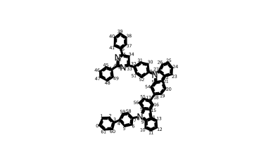 c1ccc(-c2ccc(-n3c4ccccc4c4cc(-c5ccc6c7ccccc7n(-c7ccc(-c8cc(-c9ccccc9)nc(-c9ccccc9)n8)cc7)c6c5)ccc43)cc2)cc1